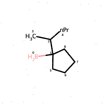 BC1(C(C)CCC)CCCC1